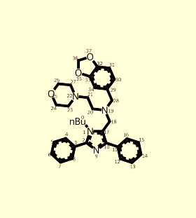 CCCCn1c(-c2ccccc2)nc(-c2ccccc2)c1CN(CCN1CCOCC1)Cc1ccc2c(c1)OCO2